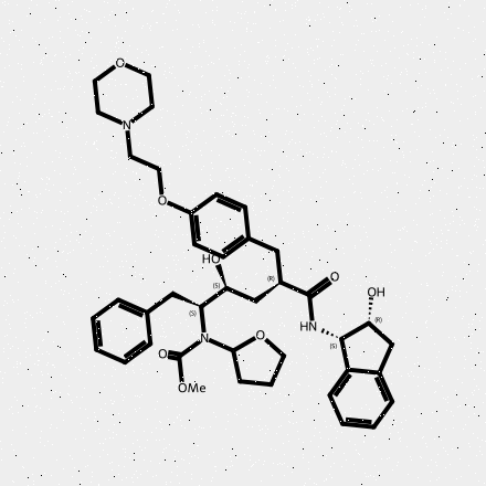 COC(=O)N(C1CCCO1)[C@@H](Cc1ccccc1)[C@@H](O)C[C@@H](Cc1ccc(OCCN2CCOCC2)cc1)C(=O)N[C@H]1c2ccccc2C[C@H]1O